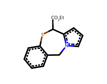 CCOC(=O)C1Sc2ccccc2Cn2cccc21